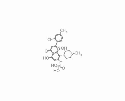 Cc1ccc(-c2cc(=O)c3c(O)cc(OP(=O)(O)O)c([C@H]4CCN(C)C[C@H]4O)c3o2)c(Cl)c1